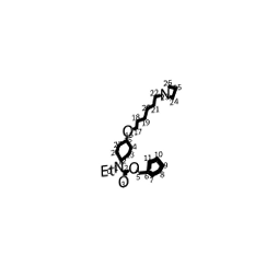 CCN(C(=O)OCc1ccccc1)[C@H]1CC[C@H](OCCCCCCN2CCC2)CC1